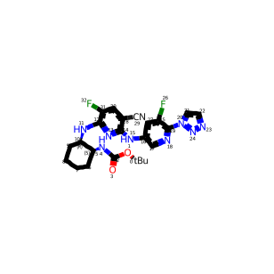 CC(C)(C)OC(=O)N[C@H]1CCCC[C@H]1Nc1nc(Nc2cnc(-n3ccnn3)c(F)c2)c(C#N)cc1F